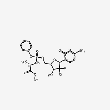 CC(C)OC(=O)[C@H](C)NP(=O)(OCC1OC(n2ccc(N)nc2=O)C(F)(Cl)C1O)Oc1ccccc1